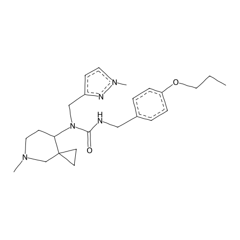 CCCOc1ccc(CNC(=O)N(Cc2ccn(C)n2)C2CCN(C)CC23CC3)cc1